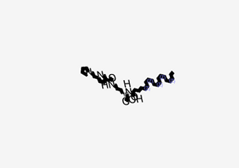 CC/C=C\C/C=C\C/C=C\C/C=C\C/C=C\CCCC(=O)N[C@@H](CCCCNC(=O)c1ccc(CCN2CCCC2)nc1)C(=O)O